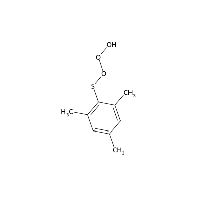 Cc1cc(C)c(SOOO)c(C)c1